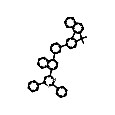 CC1(C)c2ccc(-c3cccc(-c4ccc(-c5cc(-c6ccccc6)nc(-c6ccccc6)n5)c5ccccc45)c3)cc2-c2c1ccc1ccccc21